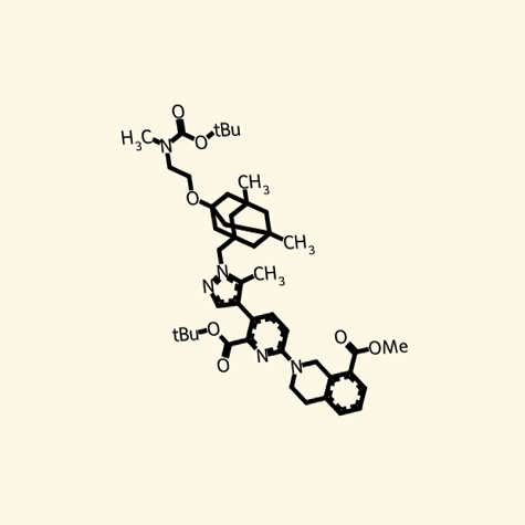 COC(=O)c1cccc2c1CN(c1ccc(-c3cnn(CC45CC6(C)CC(C)(C4)CC(OCCN(C)C(=O)OC(C)(C)C)(C6)C5)c3C)c(C(=O)OC(C)(C)C)n1)CC2